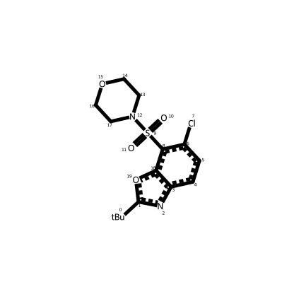 CC(C)(C)c1nc2ccc(Cl)c(S(=O)(=O)N3CCOCC3)c2o1